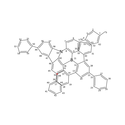 Cc1ccc(-c2ccc3c(c2)B(c2c(-c4ccccc4)cc(-c4ccccc4)cc2-c2ccccc2)c2cc(-c4ccccc4)cc4c5cc(-c6ccccc6)ccc5n-3c24)cc1